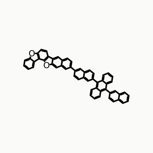 c1ccc2cc(-c3c4ccccc4c(-c4ccc5cc(-c6ccc7cc8c(cc7c6)oc6c8ccc7oc8ccccc8c76)ccc5c4)c4ccccc34)ccc2c1